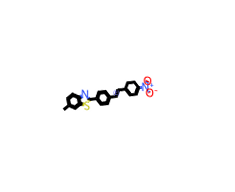 Cc1ccc2nc(-c3ccc(/C=C/C4=CC=C([N+](=O)[O-])CC4)cc3)sc2c1